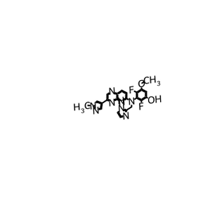 COc1cc(O)c(F)c(N(Cc2ncc[nH]2)c2ccc3ncc(-c4cnn(C)c4)nc3n2)c1F